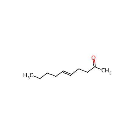 CCCC/C=C/CCC(C)=O